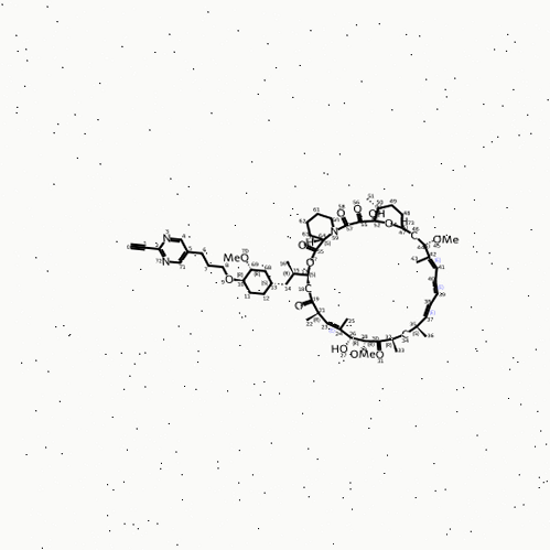 C#Cc1ncc(CCCO[C@@H]2CC[C@@H](C[C@@H](C)[C@@H]3CC(=O)[C@H](C)/C=C(\C)[C@@H](O)[C@@H](OC)C(=O)[C@H](C)C[C@H](C)/C=C/C=C/C=C(\C)[C@@H](OC)C[C@@H]4CC[C@@H](C)[C@@](O)(O4)C(=O)C(=O)N4CCCC[C@H]4C(=O)O3)C[C@H]2OC)cn1